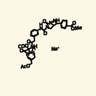 COC(=O)c1ccc(C2NN3C(=O)N(C(=O)Nc4cccc(CC(=O)NC5(C(=O)[O-])C(=O)N6C=C(COC(C)=O)CS[C@H]65)c4)CC23)cc1.[Na+]